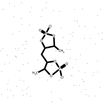 CC1OP(=O)(Cl)OC1CC1OP(=O)(Cl)OC1C